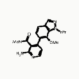 CCCn1ncc2ccc(-c3ccnc(N)c3C(=O)NC)c(OC)c21